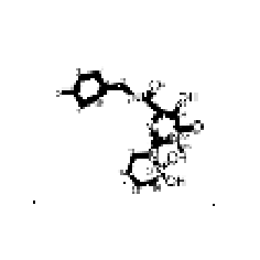 Cc1ccc(CNC(=O)c2nc(N3CCCCS3(O)O)n(C)c(=O)c2O)cc1